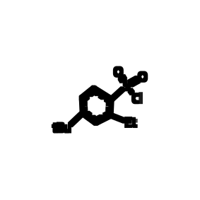 CCc1cc(C(C)(C)C)ccc1S(=O)(=O)Cl